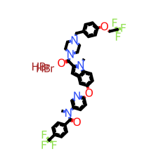 Br.Br.CN(C(=O)c1ccc(C(F)(F)F)cc1)c1ccc(Oc2ccc3c(c2)cc(C(=O)N2CCN(Cc4ccc(OCC(F)(F)F)cc4)CC2)n3C)nc1